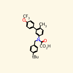 Cc1ccc(N(Cc2ccc(C(C)(C)C)cc2)C(=O)C(=O)O)cc1-c1ccc(OC(F)(F)F)cc1